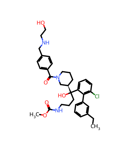 CCc1cccc(-c2c(Cl)cccc2C(O)(CCCNC(=O)OC)[C@@H]2CCCN(C(=O)c3ccc(CNCCO)cc3)C2)c1